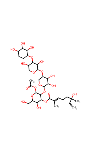 C=CC(C)(O)CC/C=C(\C)C(=O)OC1C(O)C(CO)OC(OC(C)=O)C1OC1OCC(OC2OCC(O)C(OC3CCC(O)C(O)C3O)C2O)C(O)C1O